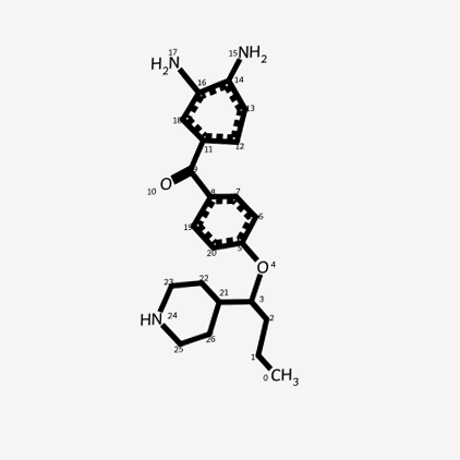 CCCC(Oc1ccc(C(=O)c2ccc(N)c(N)c2)cc1)C1CCNCC1